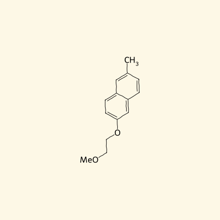 COCCOc1ccc2cc(C)ccc2c1